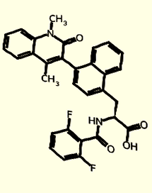 Cc1c(-c2ccc(C[C@H](NC(=O)c3c(F)cccc3F)C(=O)O)c3ccccc23)c(=O)n(C)c2ccccc12